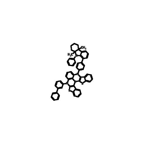 CC12CCCCC1(C)N(c1ccccc1)c1c(-c3ccc(N4c5cccc6c5B(c5sc7ccccc7c54)c4c(sc5ccccc45)N6c4cccc(-c5ccccc5)c4)cc3)cccc12